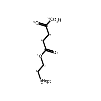 CCCCCCCCCOC(=O)CCC(=O)C(=O)O